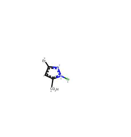 CCc1cc(C(=O)O)n(Br)n1